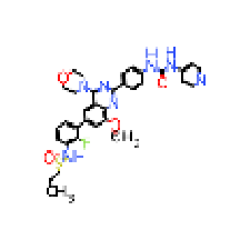 CCC[S+]([O-])Nc1cccc(-c2cc(OC)c3nc(-c4ccc(NC(=O)Nc5ccncc5)cc4)nc(N4CCOCC4)c3c2)c1F